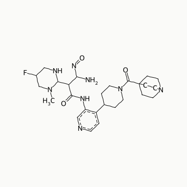 CN1CC(F)CNC1C(C(=O)Nc1cnccc1C1CCN(C(=O)C23CCN(CC2)CC3)CC1)C(N)N=O